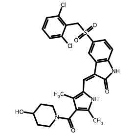 Cc1[nH]c(/C=C2\C(=O)Nc3ccc(S(=O)(=O)Cc4c(Cl)cccc4Cl)cc32)c(C)c1C(=O)N1CCC(O)CC1